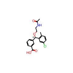 CC(=O)NCCO[C@H](c1cccc(C(=O)O)c1)c1cc(Cl)ccc1C